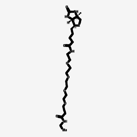 CC(C)(C)CNC(=O)CCOCCOCCOCCOCCNC(=O)CCCC[C@@H]1SC[C@]2(C)NC(=O)N[C@H]12